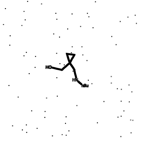 CCCCNCC1(CO)CC1